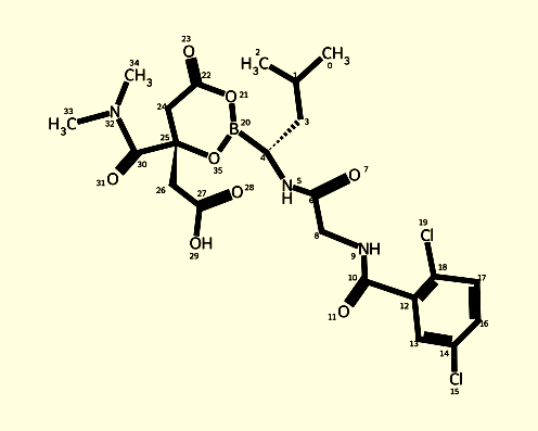 CC(C)C[C@H](NC(=O)CNC(=O)c1cc(Cl)ccc1Cl)B1OC(=O)C[C@@](CC(=O)O)(C(=O)N(C)C)O1